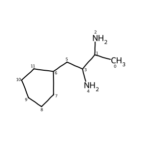 CC(N)C(N)CC1CCCCC1